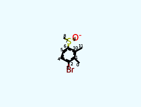 Cc1c(Br)ccc([S+](C)[O-])c1C